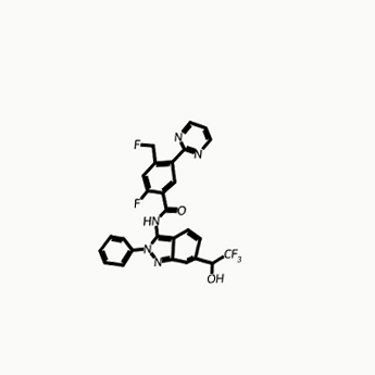 O=C(Nc1c2ccc(C(O)C(F)(F)F)cc2nn1-c1ccccc1)c1cc(-c2ncccn2)c(CF)cc1F